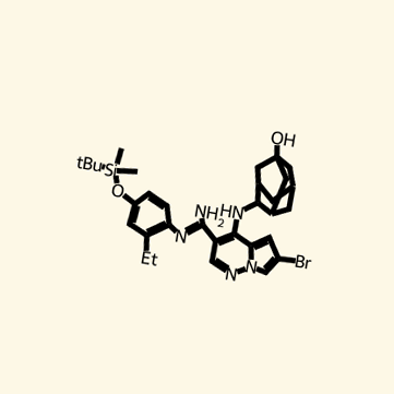 CCc1cc(O[Si](C)(C)C(C)(C)C)ccc1/N=C(\N)c1cnn2cc(Br)cc2c1NC1C2CC3CC1CC(O)(C3)C2